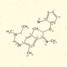 CCN(C)/C=N\c1cc(C)c(/C(COc2ccccc2Br)=N/C)cc1C